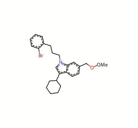 COOCc1ccc2c(C3CCCCC3)cn(CCCc3ccccc3Br)c2c1